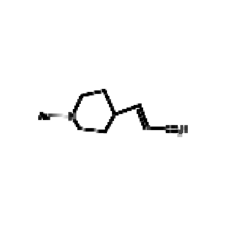 CC(=O)N1CCC(C=CC(=O)O)CC1